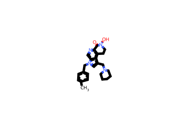 Cc1ccc(Cn2cc(CN3CCCCC3)c3c4c(ncc32)C(=O)N(O)CC4)cc1